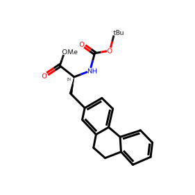 COC(=O)[C@H](Cc1ccc2c(c1)CCc1ccccc1-2)NC(=O)OC(C)(C)C